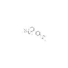 O=[N+]([O-])c1cnc2c(-c3ccc(-n4ccnc4)cc3)cccn12